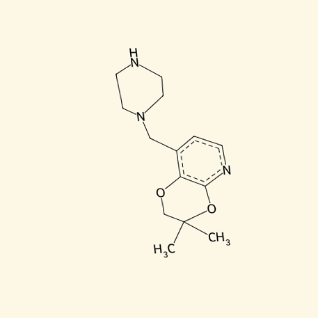 CC1(C)COc2c(CN3CCNCC3)ccnc2O1